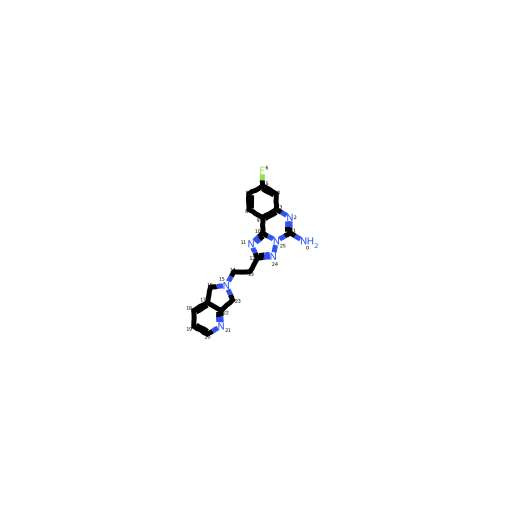 Nc1nc2cc(F)ccc2c2nc(CCN3Cc4cccnc4C3)nn12